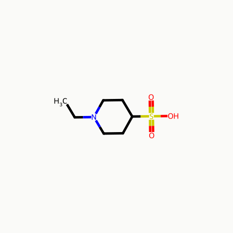 CCN1CCC(S(=O)(=O)O)CC1